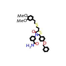 COc1ccc(CCSCCC2SC(c3ccc(OCc4ccccc4)cc3)N(c3cccc(C(N)=O)c3)C2=O)cc1OC